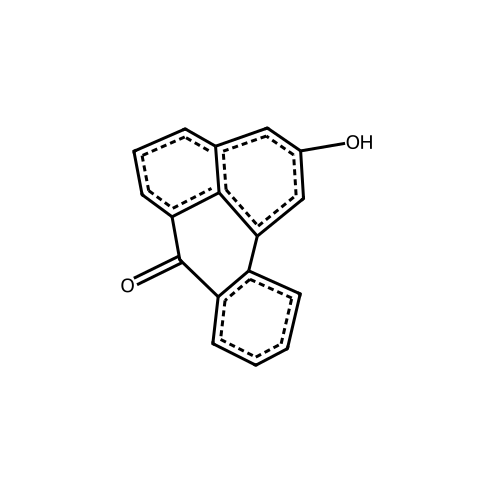 O=C1c2ccccc2-c2cc(O)cc3cccc1c23